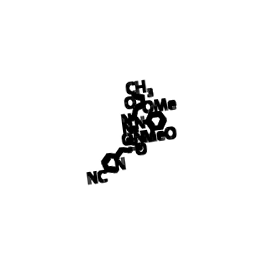 COc1cccc(OC)c1-n1c(NS(=O)(=O)CCc2ccc(C#N)cn2)nnc1-c1ccc(C)o1